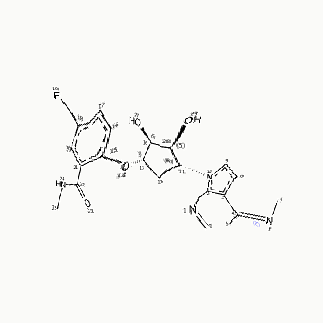 C=Nc1c(/C(C)=N\C)ccn1[C@@H]1C[C@H](Oc2ccc(F)cc2C(=O)NC)[C@@H](O)[C@H]1O